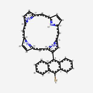 Brc1c2ccccc2c(-c2cc3cc4nc(cc5ccc(cc6nc(cc2[nH]3)C=C6)[nH]5)C=C4)c2ccccc12